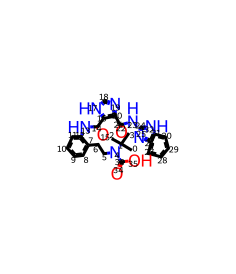 CC(C)(C)N(CCc1ccccc1NC(=O)c1[nH]cnc1C(=O)Nc1nc2ccccc2[nH]1)C(=O)O